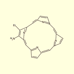 CCC1=C(N)C2=CC3=NC(=CC4=NC(=CC5=NC(=CC1=N2)C=C5)C=C4)C=C3